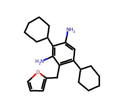 Nc1cc(C2CCCCC2)c(Cc2ccco2)c(N)c1C1CCCCC1